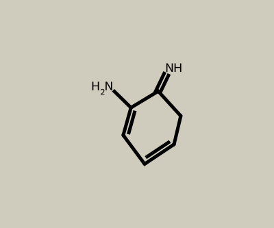 N=C1CC=CC=C1N